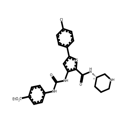 CCOC(=O)c1ccc(NC(=O)Nc2cc(-c3ccc(Cl)cc3)sc2C(=O)N[C@H]2CCCNC2)cc1